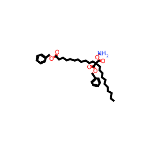 CCCCCCCCCCCC(CCCCCCCCCCC(=O)OCc1ccccc1)(C(=O)ON)C(=O)OCc1ccccc1